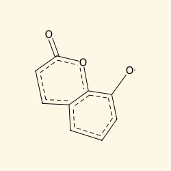 [O]c1cccc2ccc(=O)oc12